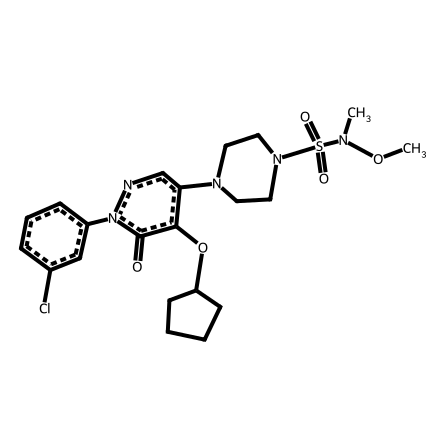 CON(C)S(=O)(=O)N1CCN(c2cnn(-c3cccc(Cl)c3)c(=O)c2OC2CCCC2)CC1